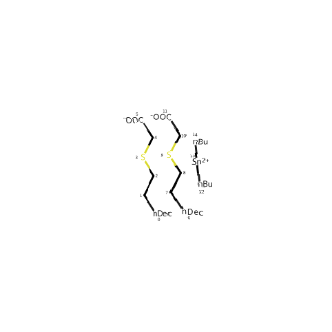 CCCCCCCCCCCCSCC(=O)[O-].CCCCCCCCCCCCSCC(=O)[O-].CCC[CH2][Sn+2][CH2]CCC